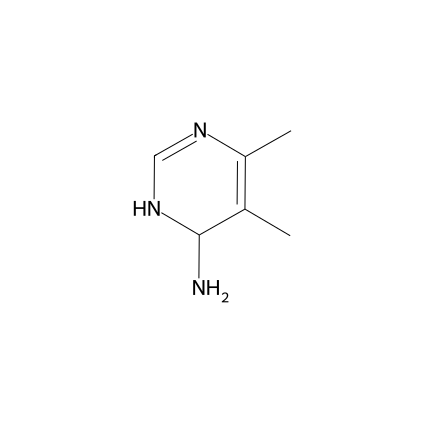 CC1=C(C)C(N)NC=N1